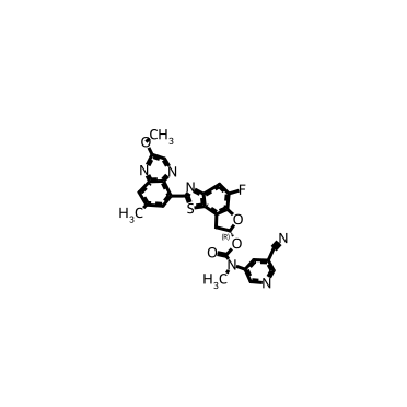 COc1cnc2c(-c3nc4cc(F)c5c(c4s3)C[C@@H](OC(=O)N(C)c3cncc(C#N)c3)O5)cc(C)cc2n1